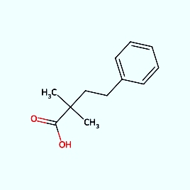 CC(C)(CCc1ccccc1)C(=O)O